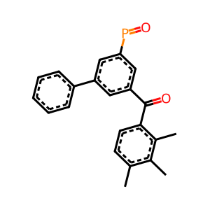 Cc1ccc(C(=O)c2cc(P=O)cc(-c3ccccc3)c2)c(C)c1C